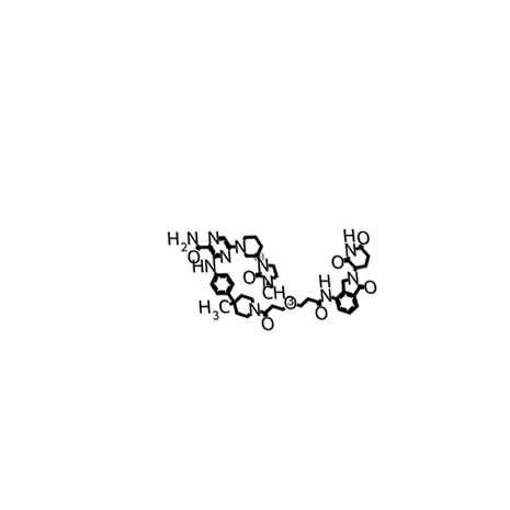 CN1CCN([C@@H]2CCCN(c3cnc(C(N)=O)c(Nc4ccc(C5(C)CCN(C(=O)CCOCCC(=O)Nc6cccc7c6CN(C6CCC(=O)NC6=O)C7=O)CC5)cc4)n3)C2)C1=O